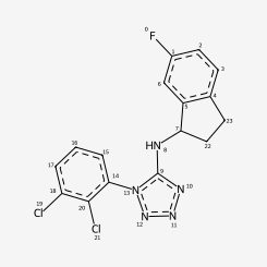 Fc1ccc2c(c1)C(Nc1nnnn1-c1cccc(Cl)c1Cl)CC2